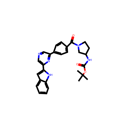 CC(C)(C)OC(=O)NC1CCN(C(=O)c2ccc(-c3cncc(-c4cc5ccccc5[nH]4)n3)cc2)C1